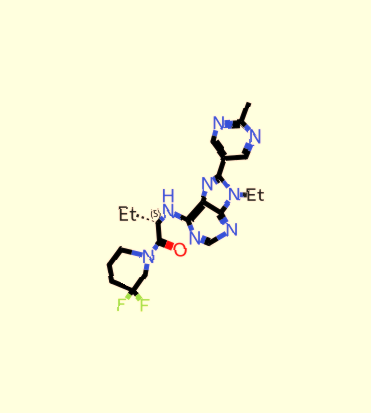 CC[C@H](Nc1ncnc2c1nc(-c1cnc(C)nc1)n2CC)C(=O)N1CCCC(F)(F)C1